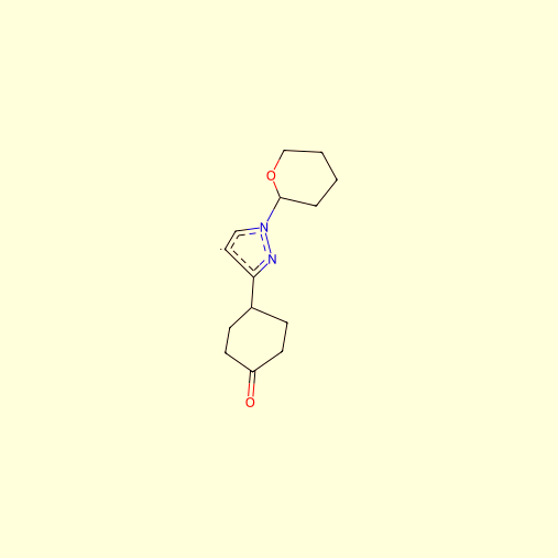 O=C1CCC(c2[c]cn(C3CCCCO3)n2)CC1